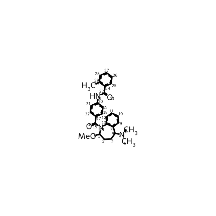 COC1CCC(N(C)C)c2ccccc2N1C(=O)c1ccc(NC(=O)c2ccccc2C)cc1